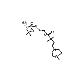 CN1CCN(CCC(C)(C)C(=O)OCCSP(=O)(ON)OC(C)(C)C)CC1